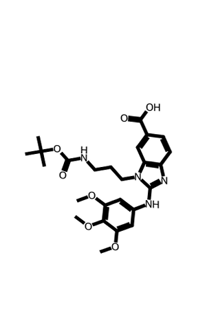 COc1cc(Nc2nc3ccc(C(=O)O)cc3n2CCCNC(=O)OC(C)(C)C)cc(OC)c1OC